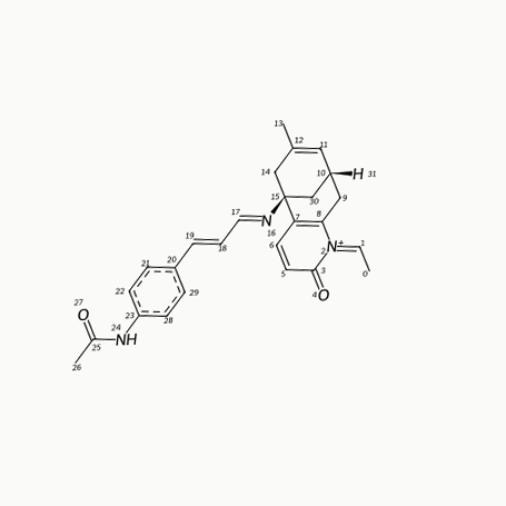 CC=[N+]1C(=O)C=CC2=C1C[C@H]1C=C(C)C[C@]2(N=CC=Cc2ccc(NC(C)=O)cc2)C1